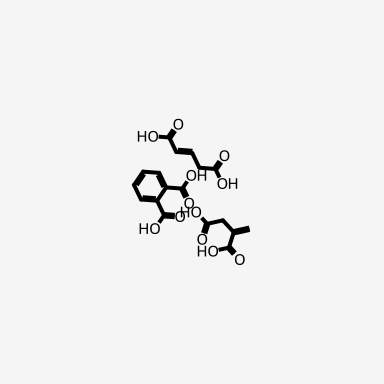 C=C(CC(=O)O)C(=O)O.O=C(O)C=CCC(=O)O.O=C(O)c1ccccc1C(=O)O